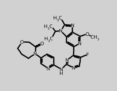 COc1nc(-c2nc(Nc3ccc(N4CCCOCC4=O)cn3)ncc2F)cc2c1nc(C)n2C(C)C